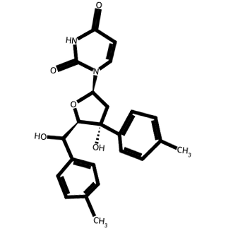 Cc1ccc(C(O)[C@H]2O[C@@H](n3ccc(=O)[nH]c3=O)C[C@@]2(O)c2ccc(C)cc2)cc1